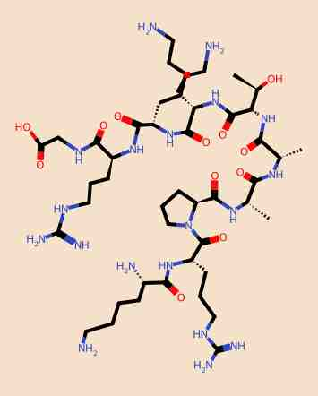 C[C@H](NC(=O)[C@H](C)NC(=O)[C@@H]1CCCN1C(=O)[C@H](CCCNC(=N)N)NC(=O)[C@@H](N)CCCCN)C(=O)N[C@H](C(=O)N[C@@H](CCCCN)C(=O)N[C@@H](CCCCN)C(=O)N[C@@H](CCCNC(=N)N)C(=O)NCC(=O)O)[C@@H](C)O